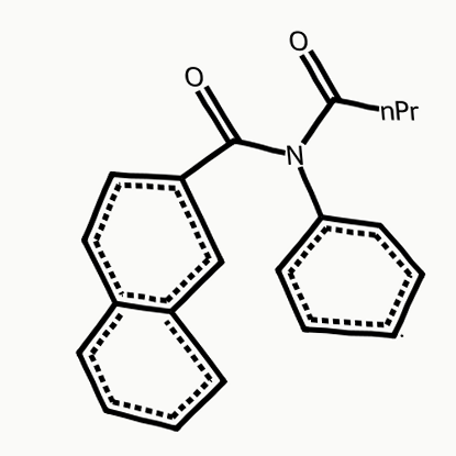 CCCC(=O)N(C(=O)c1ccc2ccccc2c1)c1cc[c]cc1